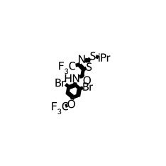 CC(C)Sc1nc(C(F)(F)F)c(C(=O)Nc2c(Br)cc(OC(F)(F)F)cc2Br)s1